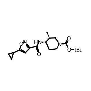 C[C@H]1CN(C(=O)OC(C)(C)C)CC[C@H]1NC(=O)c1cc(C2CC2)on1